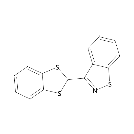 [c]1ccc2snc(C3Sc4ccccc4S3)c2c1